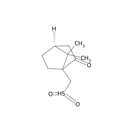 CC1(C)[C@H]2CCC1(C[SH](=O)=O)C(=O)C2